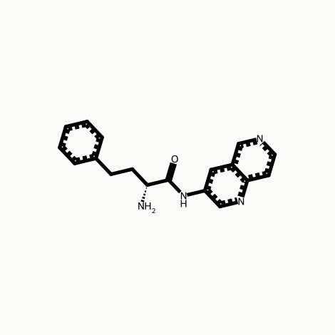 N[C@H](CCc1ccccc1)C(=O)Nc1cnc2ccncc2c1